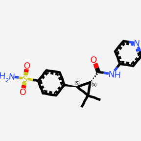 CC1(C)[C@@H](C(=O)Nc2ccncc2)[C@@H]1c1ccc(S(N)(=O)=O)cc1